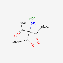 Br.CCCCCCCCCC(=O)C(N)(C(=O)CCCCCCCCC)C(=O)CCCCCCCCC